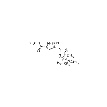 COC(=O)c1cc(CO[Si](C)(C)C(C)(C)C)[nH]n1